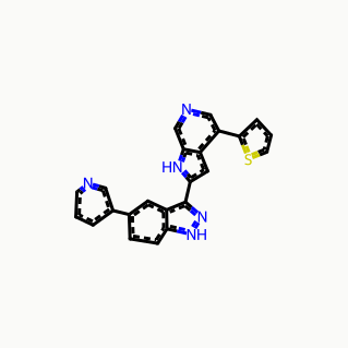 c1cncc(-c2ccc3[nH]nc(-c4cc5c(-c6cccs6)cncc5[nH]4)c3c2)c1